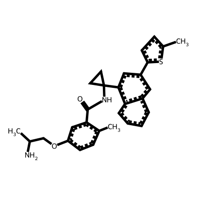 Cc1ccc(-c2cc(C3(NC(=O)c4cc(OCC(C)N)ccc4C)CC3)c3ccccc3c2)s1